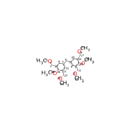 COCc1cc(Cc2cc(COC)c(OC)c(COC)c2)cc(COC)c1OC